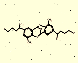 Cc1cc(C(C)CCCCl)cc2c1OC1OC2Oc2c(C)cc(C(C)CCCCl)cc21